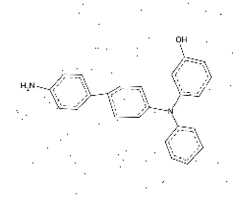 Nc1ccc(-c2ccc(N(c3ccccc3)c3cccc(O)c3)cc2)cc1